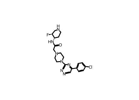 O=C(CN1CCN(c2nncc(-c3ccc(Cl)cc3)n2)CC1)N[C@H]1CCNC[C@@H]1F